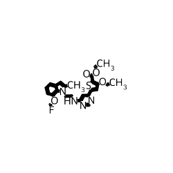 CCOC(=O)c1sc(-c2cc(NCCn3c(C)cc4cccc(OCF)c43)ncn2)cc1OCC